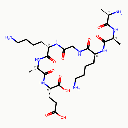 C[C@H](N)C(=O)N[C@@H](C)C(=O)N[C@@H](CCCCN)C(=O)NCC(=O)N[C@@H](CCCCN)C(=O)N[C@@H](C)C(=O)N[C@@H](CCC(=O)O)C(=O)O